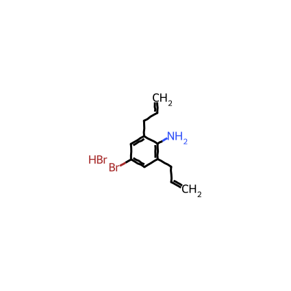 Br.C=CCc1cc(Br)cc(CC=C)c1N